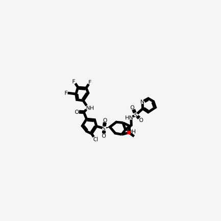 CC1CC2C[C@@H](S(=O)(=O)c3cc(C(=O)Nc4cc(F)c(F)c(F)c4)ccc3Cl)CC1[C@@]2(O)CNS(=O)(=O)c1ccccn1